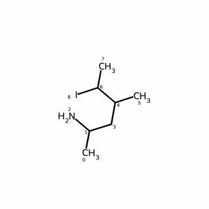 CC(N)CC(C)C(C)I